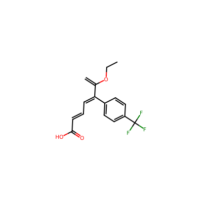 C=C(OCC)/C(=C/C=C/C(=O)O)c1ccc(C(F)(F)F)cc1